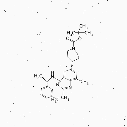 Cc1cccc([C@@H](C)Nc2nc(C)nc3c(C)cc(C4CCN(C(=O)OC(C)(C)C)CC4)cc23)c1